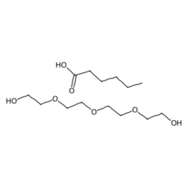 CCCCCC(=O)O.OCCOCCOCCOCCO